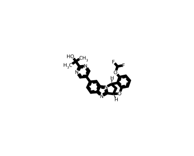 CC(C)(O)c1ncc(-c2ccc3nc4n(c3c2)[C@@H]2C[C@H]4Oc3cccc(OC(F)F)c32)cn1